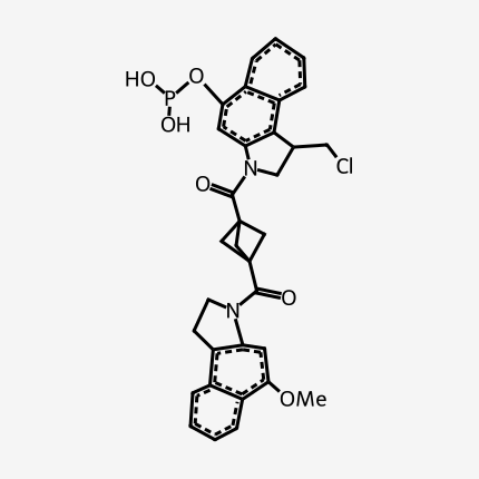 COc1cc2c(c3ccccc13)CCN2C(=O)C12CC(C(=O)N3CC(CCl)c4c3cc(OP(O)O)c3ccccc43)(C1)C2